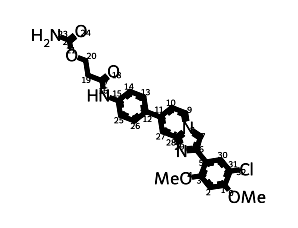 COc1cc(OC)c(-c2cn3ccc(-c4ccc(NC(=O)CCOC(N)=O)cc4)cc3n2)cc1Cl